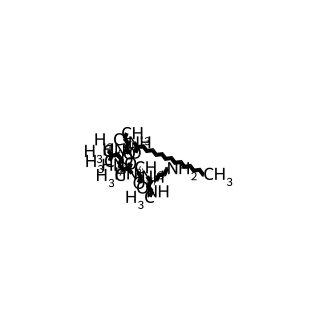 CCCCCCCCCCCCCCCC(=O)N[C@H](C(=O)N[C@H](C(=O)N[C@@H](C)C(=O)N[C@H](C)C(=O)N[C@@H](CCCCN)C(=O)NC)C(C)C)C(C)C